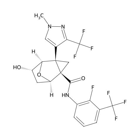 Cn1cc([C@@]23C[C@]2(C(=O)Nc2cccc(C(F)(F)F)c2F)[C@H]2C[C@H](O)[C@@H]3O2)c(C(F)(F)F)n1